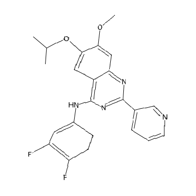 COc1cc2nc(-c3cccnc3)nc(NC3=CC(F)=C(F)CC3)c2cc1OC(C)C